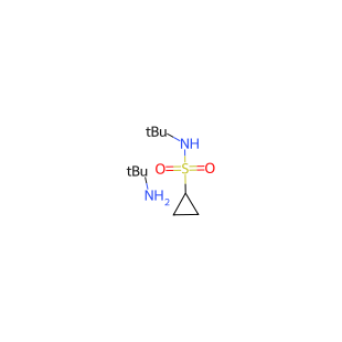 CC(C)(C)N.CC(C)(C)NS(=O)(=O)C1CC1